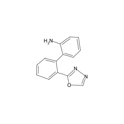 Nc1ccccc1-c1ccccc1-c1nnco1